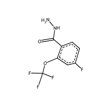 NNC(=O)c1ccc(F)cc1OC(F)(F)F